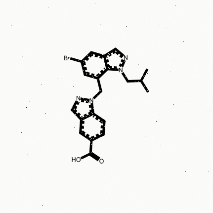 CC(C)Cn1ncc2cc(Br)cc(Cn3ncc4cc(C(=O)O)ccc43)c21